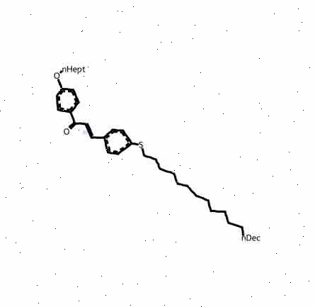 CCCCCCCCCCCCCCCCCCCCCCSc1ccc(/C=C/C(=O)c2ccc(OCCCCCCC)cc2)cc1